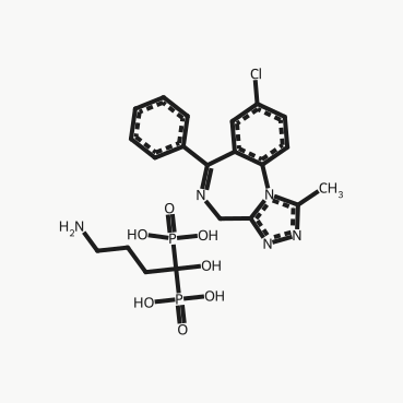 Cc1nnc2n1-c1ccc(Cl)cc1C(c1ccccc1)=NC2.NCCCC(O)(P(=O)(O)O)P(=O)(O)O